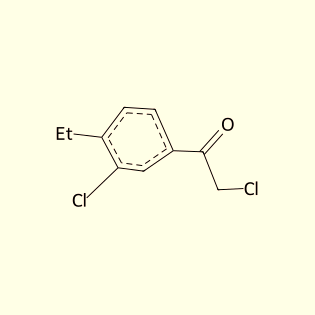 CCc1ccc(C(=O)CCl)cc1Cl